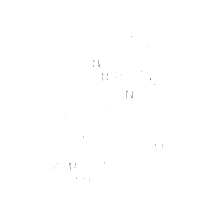 CN(C)C(=O)COc1ccc2cnn(-c3nc(-c4ccc(Cl)s4)nc4c3CSC4)c2c1